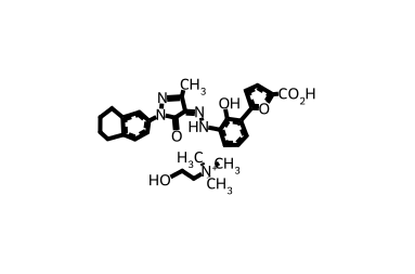 CC1=NN(c2ccc3c(c2)CCCC3)C(=O)C1=NNc1cccc(-c2ccc(C(=O)O)o2)c1O.C[N+](C)(C)CCO